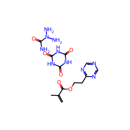 C=C(C)C(=O)OCCc1ncncn1.NC(=O)N(N)N.O=c1[nH]c(=O)[nH]c(=O)[nH]1